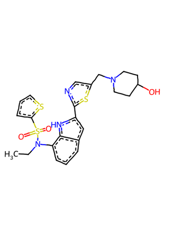 CCN(c1cccc2cc(-c3ncc(CN4CCC(O)CC4)s3)[nH]c12)S(=O)(=O)c1cccs1